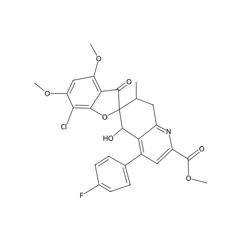 COC(=O)c1cc(-c2ccc(F)cc2)c2c(n1)CC(C)C1(Oc3c(Cl)c(OC)cc(OC)c3C1=O)C2O